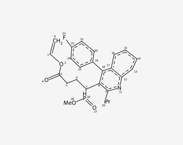 C=COC(=O)CCC(c1c(C(C)C)nc2ccccc2c1-c1ccc(F)cc1)[PH](=O)OC